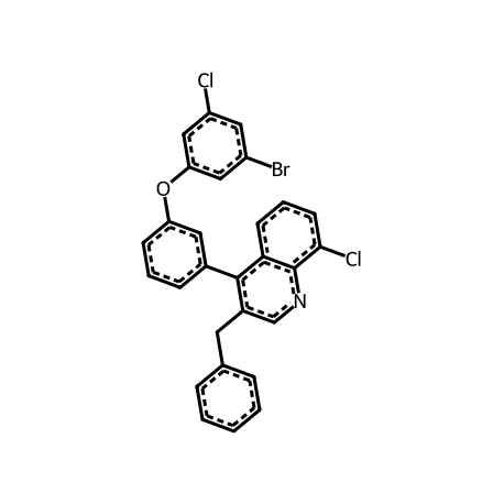 Clc1cc(Br)cc(Oc2cccc(-c3c(Cc4ccccc4)cnc4c(Cl)cccc34)c2)c1